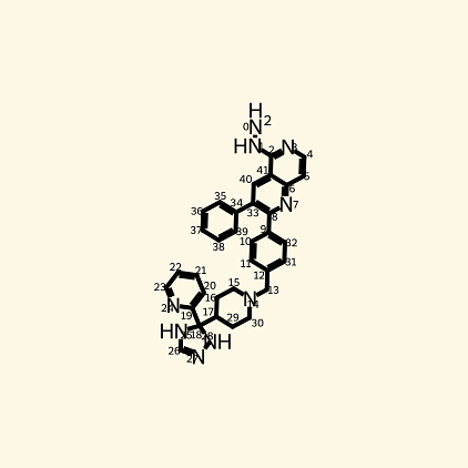 NNc1nccc2nc(-c3ccc(CN4CCC(C5(c6ccccn6)NC=NN5)CC4)cc3)c(-c3ccccc3)cc12